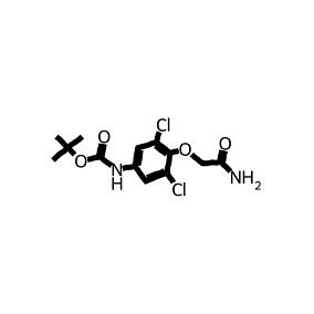 CC(C)(C)OC(=O)Nc1cc(Cl)c(OCC(N)=O)c(Cl)c1